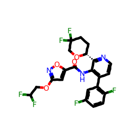 O=C(Nc1c(-c2cc(F)ccc2F)ccnc1[C@H]1CCC(F)(F)CO1)c1cc(OCC(F)F)no1